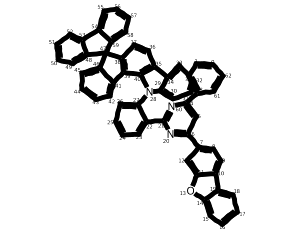 c1ccc(-c2cc(-c3ccc4c(c3)oc3ccccc34)nc(-c3ccccc3-n3c4ccccc4c4ccc5c(c43)-c3ccccc3C53c4ccccc4-c4ccccc43)n2)cc1